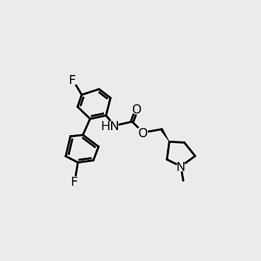 CN1CC[C@H](COC(=O)Nc2ccc(F)cc2-c2ccc(F)cc2)C1